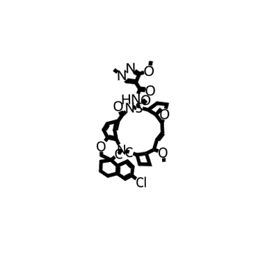 COc1nn(C)cc1C(=O)NS1(=O)=NC(=O)c2ccc3c(c2)N(CC2CCC2C(OC)/C=C/C2OCCC1C2C)CC1(CCCc2cc(Cl)ccc21)CO3